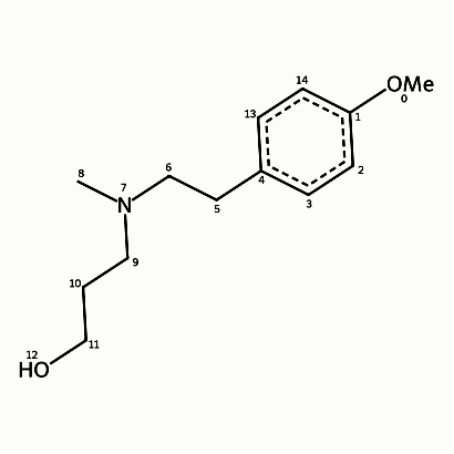 COc1ccc(CCN(C)CCCO)cc1